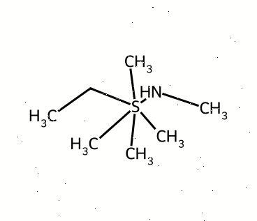 CCS(C)(C)(C)(C)NC